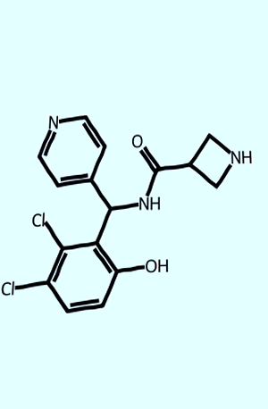 O=C(NC(c1ccncc1)c1c(O)ccc(Cl)c1Cl)C1CNC1